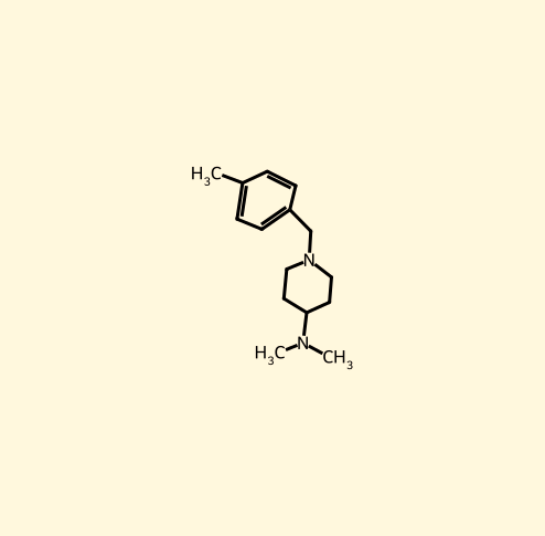 Cc1ccc(CN2CCC(N(C)C)CC2)cc1